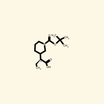 CC[C@H](C(=O)O)C1CCCN(C(=O)OC(C)(C)C)C1